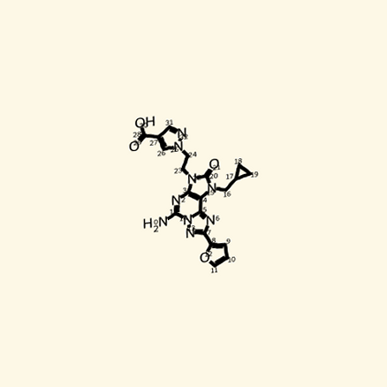 Nc1nc2c(c3nc(-c4ccco4)nn13)n(CC1CC1)c(=O)n2CCn1cc(C(=O)O)cn1